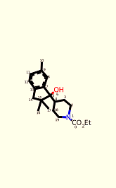 CCOC(=O)N1CCC(C2(O)c3cc(C)ccc3CC2(C)C)CC1